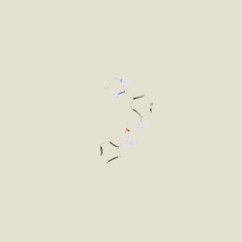 Cc1ccccc1NC(=O)Nc1cccc(C2=NCCN2)c1.Cl